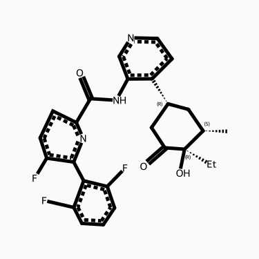 CC[C@]1(O)C(=O)C[C@H](c2ccncc2NC(=O)c2ccc(F)c(-c3c(F)cccc3F)n2)C[C@@H]1C